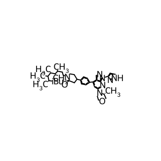 CCC(C)C(C)C(C)C(C)C(C)C(C)CCN1CCC(c2ccc(-c3cc(N4CCOC[C@H]4C)nc4c3cnn4-c3cc[nH]n3)cc2)CC1=O